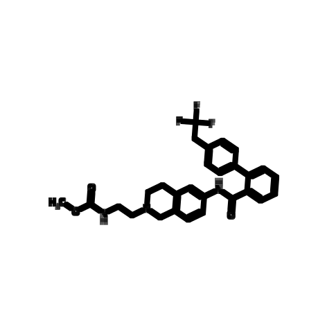 COC(=O)NCCN1CCc2cc(NC(=O)c3ccccc3-c3ccc(CC(F)(F)F)cc3)ccc2C1